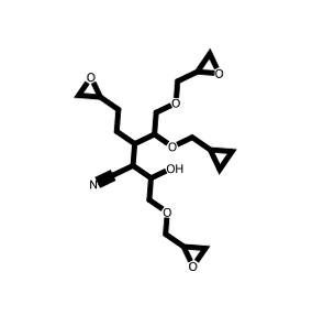 N#CC(C(O)COCC1CO1)C(CCC1CO1)C(COCC1CO1)OCC1CC1